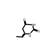 CC=C1CC(=O)NC(=O)N1